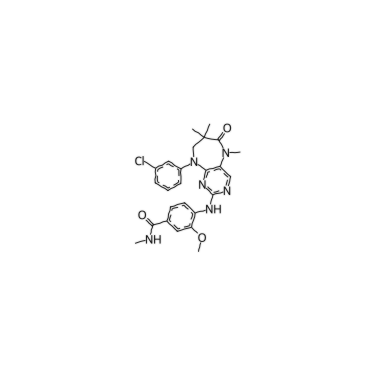 CNC(=O)c1ccc(Nc2ncc3c(n2)N(c2cccc(Cl)c2)CC(C)(C)C(=O)N3C)c(OC)c1